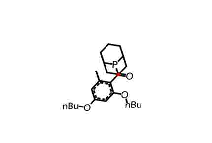 CCCCOc1cc(C)c(C(=O)P2C3CCCC2CCC3)c(OCCCC)c1